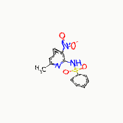 Cc1ccc([N+](=O)[O-])c(NS(=O)(=O)c2ccccc2)n1